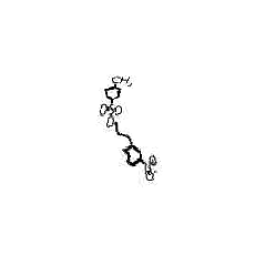 Cc1ccc(S(=O)(=O)OCCCc2cccc([N+](=O)[O-])c2)cc1